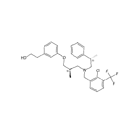 C[C@@H](COc1cccc(CCO)c1)CN(Cc1cccc(C(F)(F)F)c1Cl)C[C@@H](C)c1ccccc1